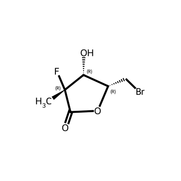 C[C@]1(F)C(=O)O[C@@H](CBr)[C@H]1O